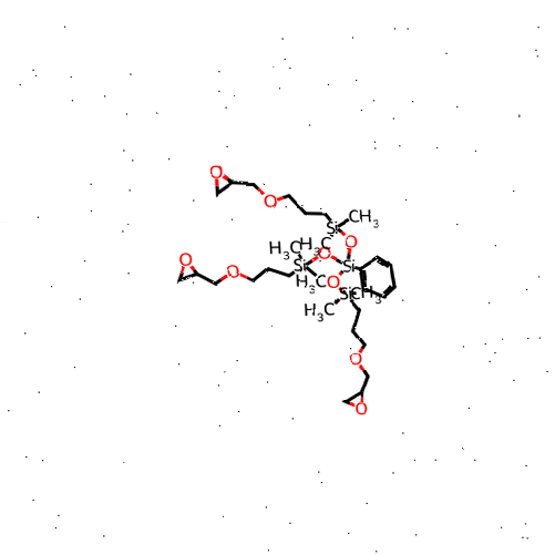 C[Si](C)(CCCOCC1CO1)O[Si](O[Si](C)(C)CCCOCC1CO1)(O[Si](C)(C)CCCOCC1CO1)c1ccccc1